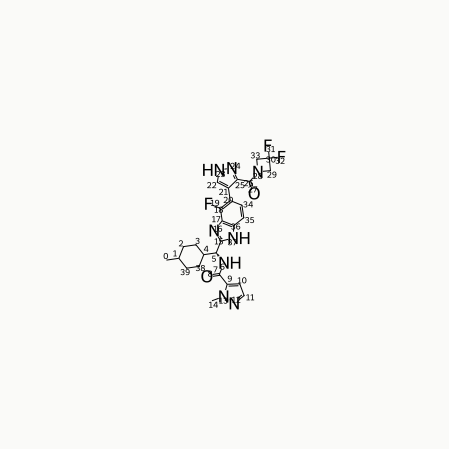 CC1CCC([C@H](NC(=O)c2ccnn2C)c2nc3c(F)c(-c4c[nH]nc4C(=O)N4CC(F)(F)C4)ccc3[nH]2)CC1